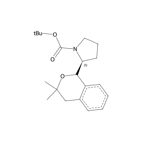 CC(C)(C)OC(=O)N1CCC[C@H]1C1OC(C)(C)Cc2ccccc21